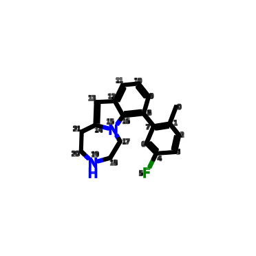 Cc1ccc(F)cc1-c1cccc2cc3n(c12)CCNCC3